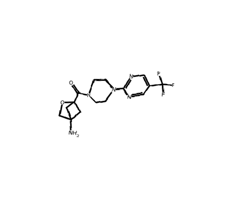 NC12COC(C(=O)N3CCN(c4ncc(C(F)(F)F)cn4)CC3)(C1)C2